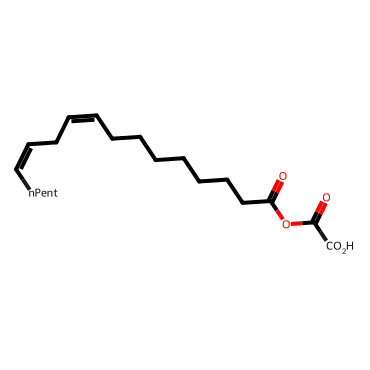 CCCCC/C=C\C/C=C\CCCCCCCC(=O)OC(=O)C(=O)O